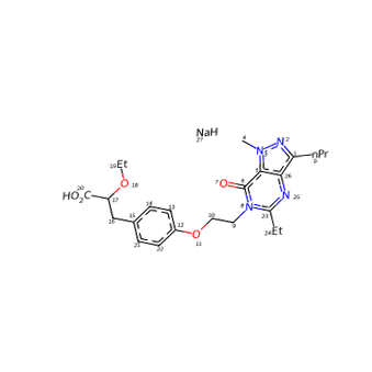 CCCc1nn(C)c2c(=O)n(CCOc3ccc(CC(OCC)C(=O)O)cc3)c(CC)nc12.[NaH]